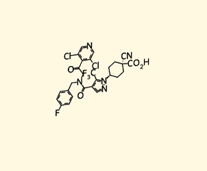 N#C[C@]1(C(=O)O)CC[C@@H](n2ncc(C(=O)N(CC(=O)c3c(Cl)cncc3Cl)Cc3ccc(F)cc3)c2C(F)(F)F)CC1